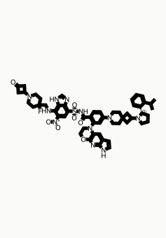 CC(C)c1ccccc1[C@@H]1CCCN1C1CC2(CCN(c3ccc(C(=O)NS(=O)(=O)c4cc([N+](=O)[O-])c(NCC5(F)CCN(C6CC(=O)C6)CC5)c5[nH]cnc45)c(N4CCOc5nc6[nH]ccc6cc54)c3)CC2)C1